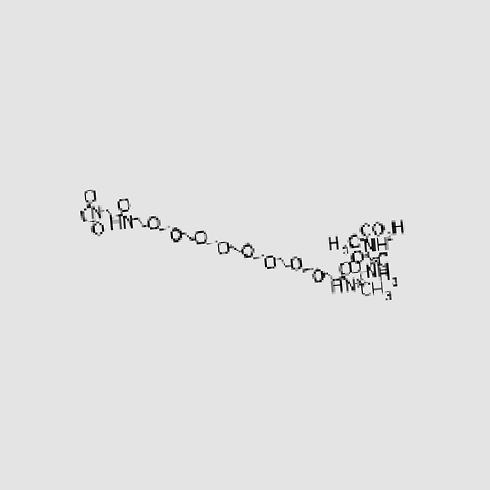 C[C@H](NC(=O)[C@H](C)NC(=O)[C@H](C)NC(=O)CCOCCOCCOCCOCCOCCOCCOCCOCCNC(=O)CCN1C(=O)C=CC1=O)C(=O)O